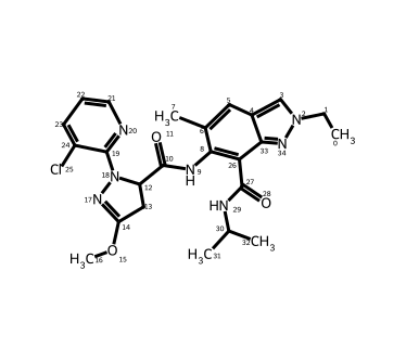 CCn1cc2cc(C)c(NC(=O)C3CC(OC)=NN3c3ncccc3Cl)c(C(=O)NC(C)C)c2n1